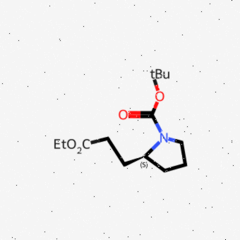 CCOC(=O)CC[C@@H]1CCCN1C(=O)OC(C)(C)C